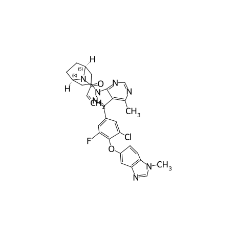 C=CC(=O)N1[C@@H]2CC[C@H]1CC(n1nc(-c3cc(F)c(Oc4ccc5c(c4)ncn5C)c(Cl)c3)c3c(C)ncnc31)C2